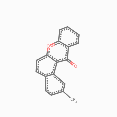 O=c1c2ccccc2oc2ccc3ccc(C(F)(F)F)cc3c12